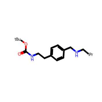 CC(C)CNCc1ccc(CCNC(=O)OC(C)(C)C)cc1